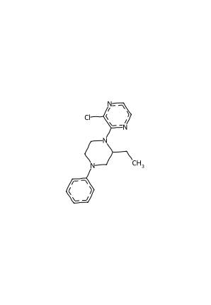 CCC1CN(c2ccccc2)CCN1c1nccnc1Cl